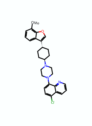 COc1cccc2c1occ2[C@H]1CC[C@H](N2CCN(c3ccc(Cl)c4cccnc34)CC2)CC1